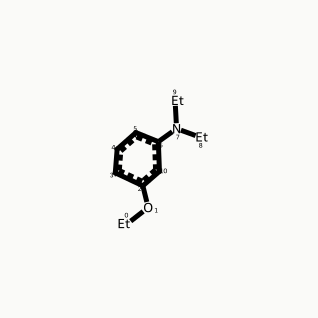 CCOc1[c]ccc(N(CC)CC)c1